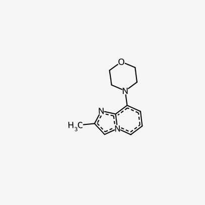 Cc1cn2cccc(N3CCOCC3)c2n1